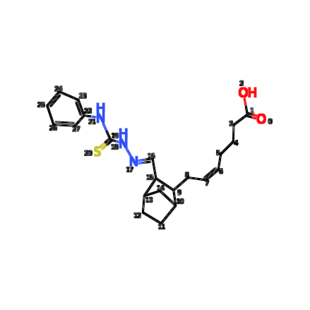 O=C(O)CCC/C=C\CC1C2CCC(C2)C1C=NNC(=S)Nc1ccccc1